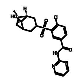 C[C@H]1CC2CC(S(=O)(=O)c3cc(C(=O)Nc4ncccn4)ccc3Cl)C[C@H]1[C@]2(C)O